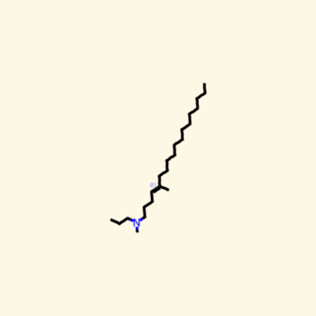 CCCCCCCCCCCCC/C(C)=C/CCCN(C)CCC